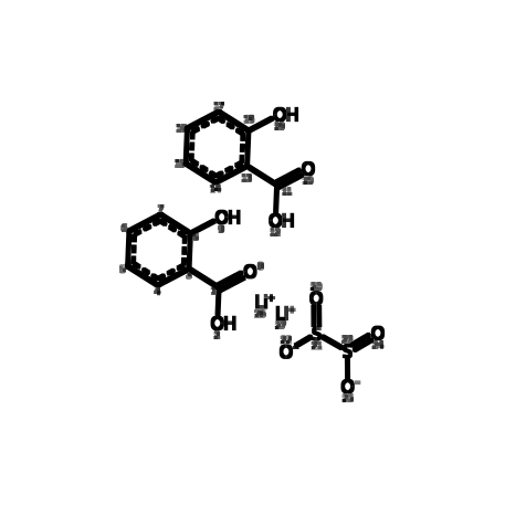 O=C(O)c1ccccc1O.O=C(O)c1ccccc1O.O=S([O-])S(=O)[O-].[Li+].[Li+]